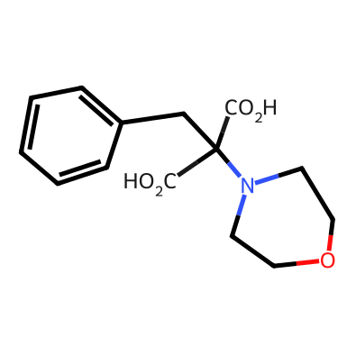 O=C(O)C(Cc1ccccc1)(C(=O)O)N1CCOCC1